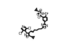 COc1ccc(-c2noc(CCCC/C=C/c3c(-c4c(Cl)cncc4Cl)noc3C3CC3)n2)cc1C(=O)NS(=O)(=O)C1CC1